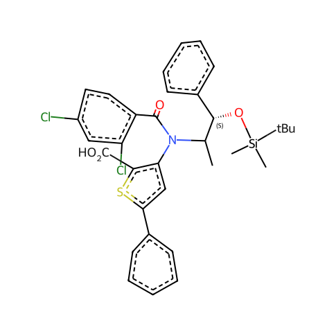 CC([C@@H](O[Si](C)(C)C(C)(C)C)c1ccccc1)N(C(=O)c1ccc(Cl)cc1Cl)c1cc(-c2ccccc2)sc1C(=O)O